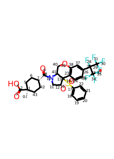 C[C@]1(C(=O)O)CC[C@H](C(=O)N2CCC3(S(=O)(=O)c4ccccc4)c4ccc(C(F)(C(F)(F)F)C(F)(F)F)cc4OCC23)CC1